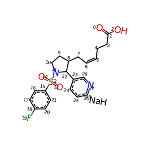 O=C(O)CC/C=C\CC1CCN(S(=O)(=O)c2ccc(F)cc2)C1c1cccnc1.[NaH]